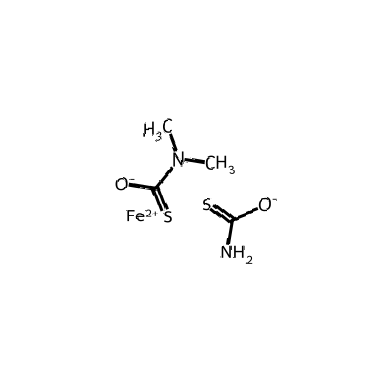 CN(C)C([O-])=S.NC([O-])=S.[Fe+2]